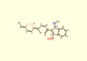 BC(/C=C\C=C\C)=C(C)\C=C/C(=C)C1=C(O)c2ccccc2/C1=N\C